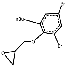 CCCCc1cc(Br)cc(Br)c1OCC1CO1